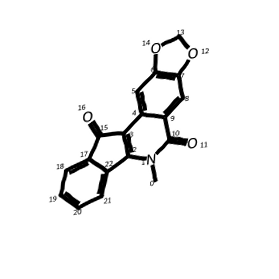 Cn1c2c(c3cc4c(cc3c1=O)OCO4)C(=O)c1ccccc1-2